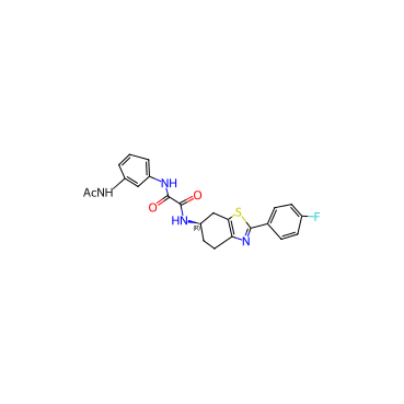 CC(=O)Nc1cccc(NC(=O)C(=O)N[C@@H]2CCc3nc(-c4ccc(F)cc4)sc3C2)c1